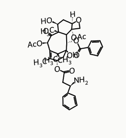 CC(=O)O[C@H]1C(=O)[C@@]2(C)C([C@H](OC(=O)c3ccccc3)[C@]3(O)C[C@H](OC(=O)C[C@@H](N)c4ccccc4)C(C)=C1C3(C)C)[C@]1(OC(C)=O)CO[C@@H]1C[C@@H]2O